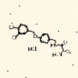 CC[C@H](N)C(=O)NCc1ccc(OCc2ccc(Cl)c(Cl)c2)cc1.Cl